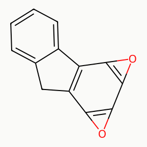 c1ccc2c(c1)Cc1c-2c2oc2c2oc12